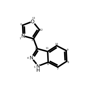 [c]1nc(-c2n[nH]c3ccccc23)co1